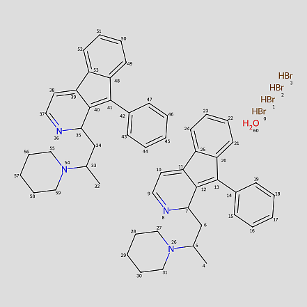 Br.Br.Br.Br.CC(CC1N=CC=C2C1=C(c1ccccc1)c1ccccc12)N1CCCCC1.CC(CC1N=CC=C2C1=C(c1ccccc1)c1ccccc12)N1CCCCC1.O